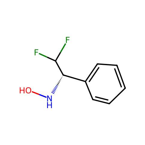 ON[C@@H](c1ccccc1)C(F)F